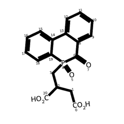 O=C(O)CC(CP1(=O)C(=O)c2ccccc2-c2ccccc21)C(=O)O